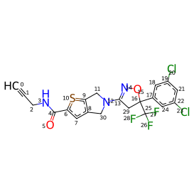 C#CCNC(=O)c1cc2c(s1)CN(C1=NOC(c3cc(Cl)cc(Cl)c3)(C(F)(F)F)C1)C2